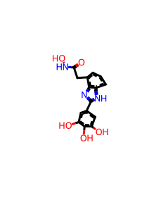 O=C(Cc1cccc2[nH]c(-c3cc(O)c(O)c(O)c3)nc12)NO